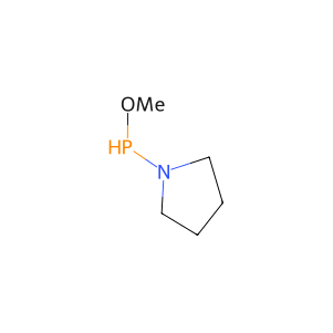 COPN1CCCC1